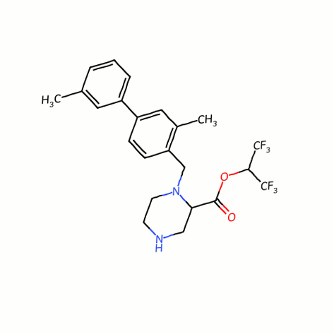 Cc1cccc(-c2ccc(CN3CCNCC3C(=O)OC(C(F)(F)F)C(F)(F)F)c(C)c2)c1